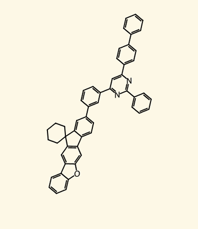 c1ccc(-c2ccc(-c3cc(-c4cccc(-c5ccc6c(c5)C5(CCCCC5)c5cc7c(cc5-6)oc5ccccc57)c4)nc(-c4ccccc4)n3)cc2)cc1